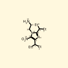 CCC(CC)c1nc(C(CC)CC)n(CCN)c1[N+](=O)[O-]